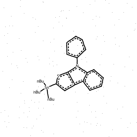 CCC[CH2][Sn]([CH2]CCC)([CH2]CCC)[c]1cc2c3ccccc3n(-c3ccccc3)c2s1